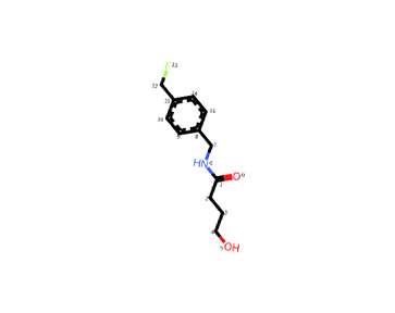 O=C(CCCO)NCc1ccc(CF)cc1